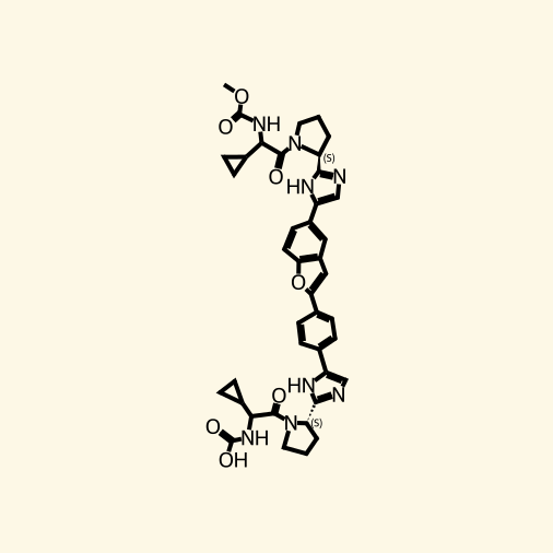 COC(=O)NC(C(=O)N1CCC[C@H]1c1ncc(-c2ccc3oc(-c4ccc(-c5cnc([C@@H]6CCCN6C(=O)C(NC(=O)O)C6CC6)[nH]5)cc4)cc3c2)[nH]1)C1CC1